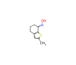 Cc1cc2c(s1)/C(=N/O)CCC2